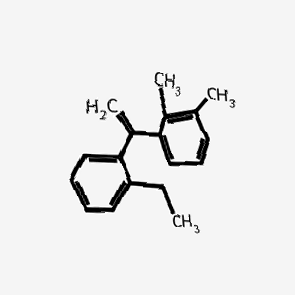 C=C(c1ccccc1CC)c1cccc(C)c1C